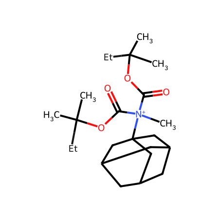 CCC(C)(C)OC(=O)[N+](C)(C(=O)OC(C)(C)CC)C12CC3CC(CC(C3)C1)C2